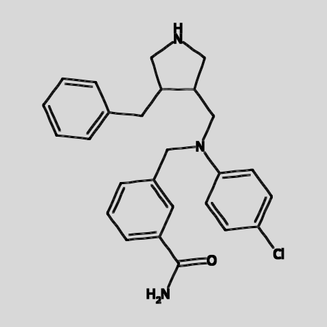 NC(=O)c1cccc(CN(CC2CNCC2Cc2ccccc2)c2ccc(Cl)cc2)c1